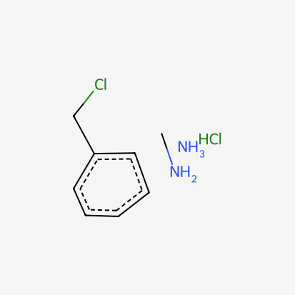 CN.Cl.ClCc1ccccc1.N